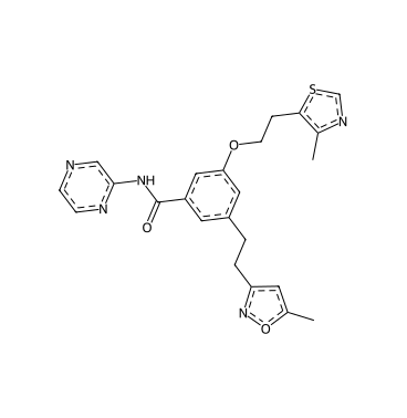 Cc1cc(CCc2cc(OCCc3scnc3C)cc(C(=O)Nc3cnccn3)c2)no1